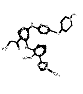 CCC(=O)c1cnc(Nc2ccc(OC3CCN(C)CC3)nn2)cc1Nc1cccc(-c2ncn(C)n2)c1OC